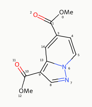 COC(=O)c1ccn2ncc(C(=O)OC)c2c1